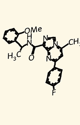 COc1ccccc1C(C)NC(=O)c1ncn2c(C)cc(-c3ccc(F)cc3)nc12